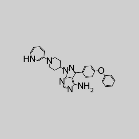 Nc1ncnc2c1c(-c1ccc(Oc3ccccc3)cc1)nn2C1CCN(C2=CNC=CC=C2)CC1